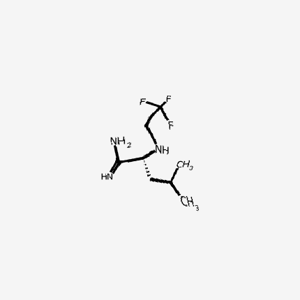 CC(C)C[C@@H](NCC(F)(F)F)C(=N)N